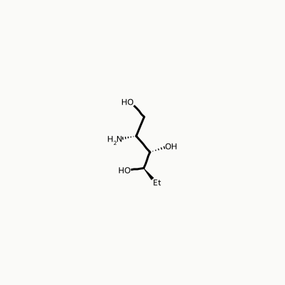 CC[C@@H](O)[C@@H](O)[C@H](N)CO